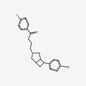 N#Cc1ccc(C2CC3CN(CCCC(=O)c4ccc(F)cc4)CC32)cc1